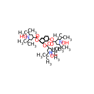 CC(C)C1CC(C(=O)Oc2ccc3c(OC(=O)C4CC(C(C)C)N(O)C(C(C)C)C4)c(OC(=O)C4CC(C(C)C)N(O)C(C(C)C)C4)ccc3c2)CC(C(C)C)N1O